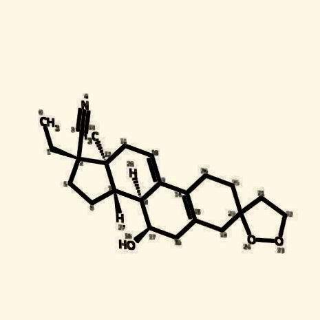 CC[C@]1(C#N)CC[C@H]2[C@H]3C(=CC[C@@]21C)C1=C(C[C@H]3O)CC2(CCOO2)CC1